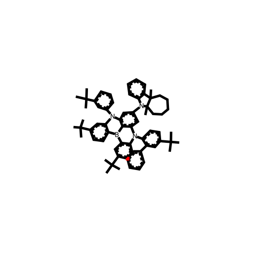 CC(C)(C)c1cccc(N2c3cc(C(C)(C)C)ccc3B3c4cc(C(C)(C)C)ccc4N(c4ccc(C(C)(C)C)cc4-c4ccccc4)c4cc(N5c6ccccc6C6(C)CCCCCC56C)cc2c43)c1